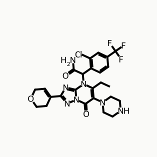 CCc1c(N2CCNCC2)c(=O)n2nc(C3=CCOCC3)nc2n1C(C(N)=O)c1ccc(C(F)(F)F)cc1Cl